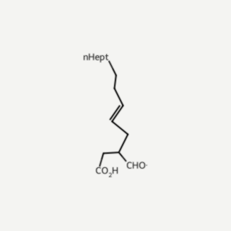 CCCCCCCCCC=CCC([C]=O)CC(=O)O